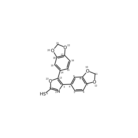 Sc1nc(-c2ccc3c(c2)OCO3)c(-c2ccc3c(c2)OCO3)o1